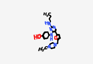 CCCCNc1ncc(-c2ccc(CN3CCN(C)CC3)o2)c(NC2CCC(O)CC2)n1